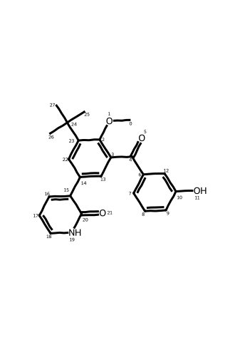 COc1c(C(=O)c2cccc(O)c2)cc(-c2ccc[nH]c2=O)cc1C(C)(C)C